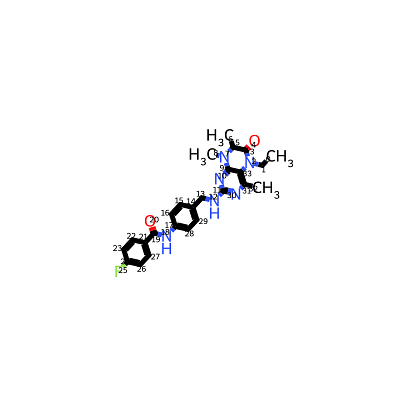 CCN1C(=O)C(C)N(C)c2nc(NCc3ccc(NC(=O)c4ccc(F)cc4)cc3)nc(C)c21